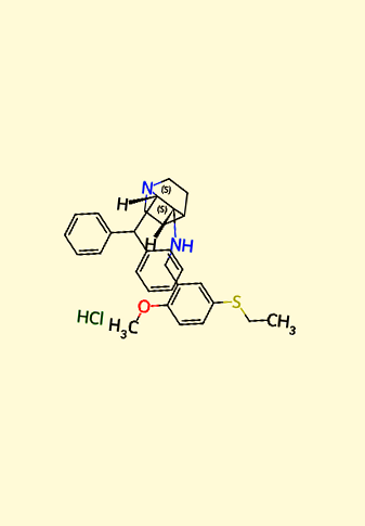 CCSc1ccc(OC)c(CN[C@H]2C3CCN(CC3)[C@H]2C(c2ccccc2)c2ccccc2)c1.Cl